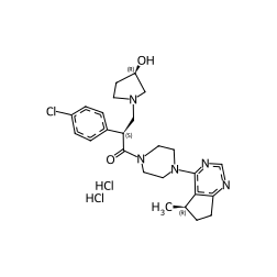 C[C@@H]1CCc2ncnc(N3CCN(C(=O)[C@H](CN4CC[C@@H](O)C4)c4ccc(Cl)cc4)CC3)c21.Cl.Cl